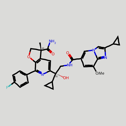 COc1cc(C(=O)NC[C@](O)(c2cc3c(c(-c4ccc(F)cc4)n2)OC[C@]3(C)C(N)=O)C2CC2)cn2cc(C3CC3)nc12